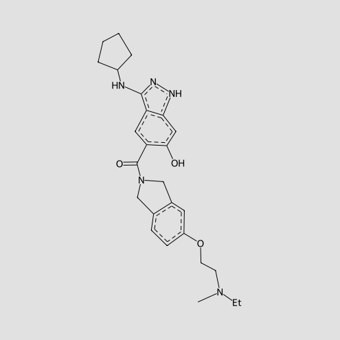 CCN(C)CCOc1ccc2c(c1)CN(C(=O)c1cc3c(NC4CCCC4)n[nH]c3cc1O)C2